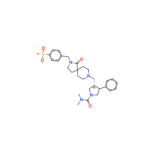 CN(C)C(=O)N1CC(c2ccccc2)[C@@H](CN2CCC3(CC2)CCN(Cc2ccc(S(C)(=O)=O)cc2)C3=O)C1